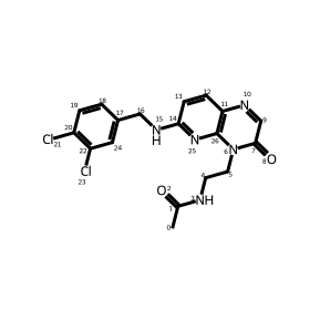 CC(=O)NCCn1c(=O)cnc2ccc(NCc3ccc(Cl)c(Cl)c3)nc21